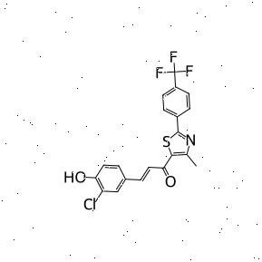 Cc1nc(-c2ccc(C(F)(F)F)cc2)sc1C(=O)C=Cc1ccc(O)c(Cl)c1